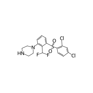 O=S(=O)(c1ccc(Cl)cc1Cl)c1cccc(N2CCNCC2)c1C(F)F